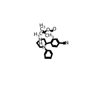 CC(C)(C)OC=O.N#Cc1ccc(C2CNCCN2c2ccccc2)cc1